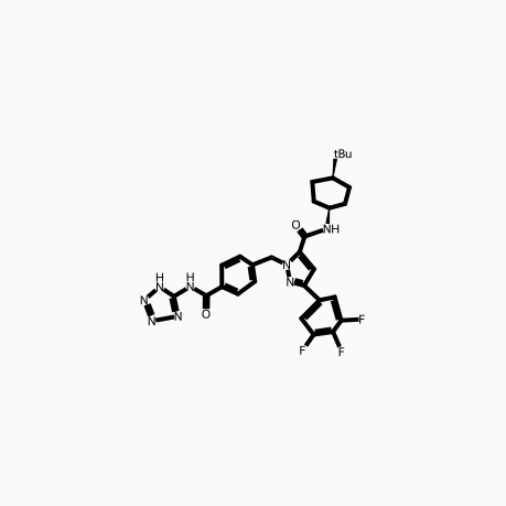 CC(C)(C)[C@H]1CC[C@@H](NC(=O)c2cc(-c3cc(F)c(F)c(F)c3)nn2Cc2ccc(C(=O)Nc3nnn[nH]3)cc2)CC1